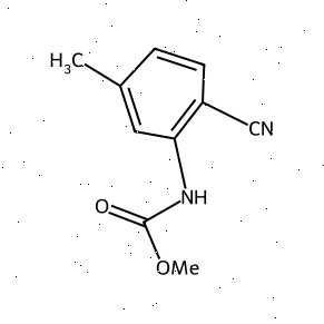 COC(=O)Nc1cc(C)ccc1C#N